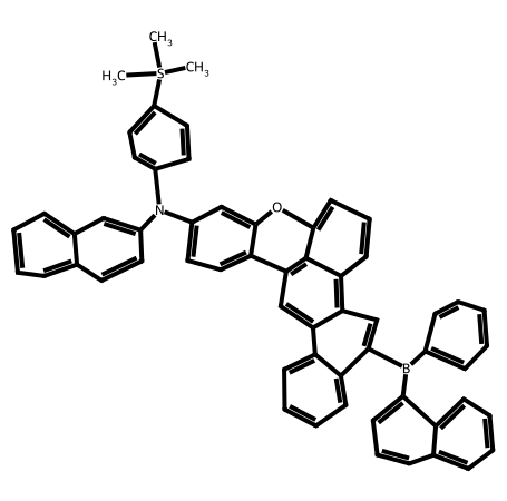 CS(C)(C)c1ccc(N(c2ccc3c(c2)Oc2cccc4c2c-3cc2c3ccccc3c(B(c3ccccc3)c3cccc5ccccc35)cc42)c2ccc3ccccc3c2)cc1